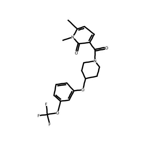 Cc1ccc(C(=O)N2CCC(Oc3cccc(OC(F)(F)F)c3)CC2)c(=O)n1C